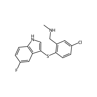 CNCc1cc(Cl)ccc1Sc1c[nH]c2ccc(F)cc12